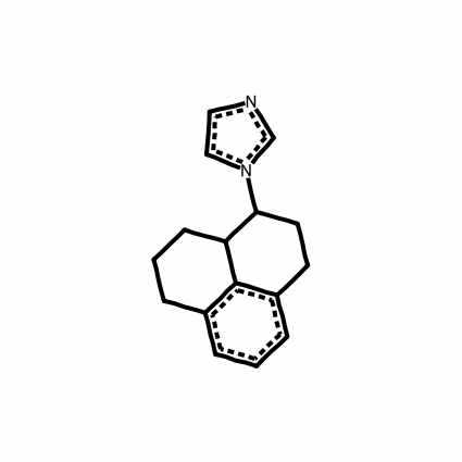 c1cc2c3c(c1)CCC(n1ccnc1)C3CCC2